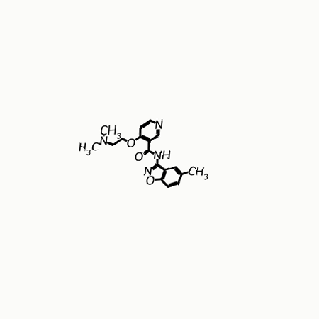 Cc1ccc2onc(NC(=O)c3cnccc3OCCN(C)C)c2c1